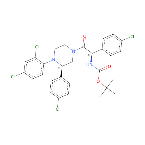 CC(C)(C)OC(=O)N[C@@H](C(=O)N1CCN(c2ccc(Cl)cc2Cl)[C@H](c2ccc(Cl)cc2)C1)c1ccc(Cl)cc1